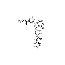 C=CC(=O)N1CCC[C@H](c2nc(-c3ccc(C(=O)Nc4ccccn4)cc3)n3c(N)nccc23)C1